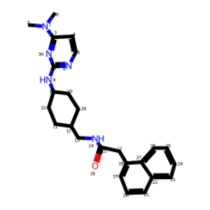 CN(C)c1ccnc(NC2CCC(CNC(=O)Cc3cccc4ccccc34)CC2)n1